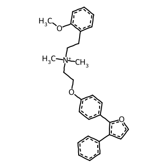 COc1ccccc1CC[N+](C)(C)CCOc1ccc(-c2occc2-c2ccccc2)cc1